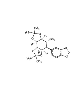 CC1(C)O[C@@H]2[C@@H]3OC(C)(C)O[C@@H]3[C@H](c3ccc4c(c3)OCO4)[C@@H](N)[C@@H]2O1